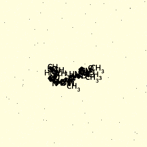 COC(=O)NC(C(=O)N1CCC[C@@H]1c1ncc(-c2ccc3c(c2)nc(C)n2c4ccc(-c5cnc([C@@H]6CCCN6C(=O)C(NC(=O)OC)C(C)C)[nH]5)cc4cc32)[nH]1)C(C)C